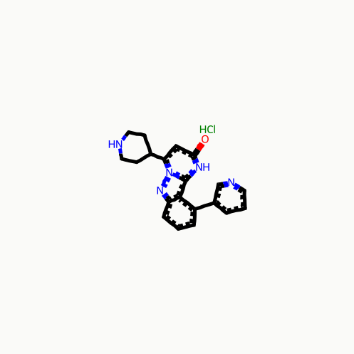 Cl.O=c1cc(C2CCNCC2)n2nc3cccc(-c4cccnc4)c3c2[nH]1